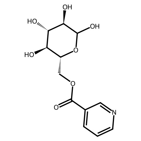 O=C(OC[C@H]1OC(O)[C@H](O)[C@@H](O)[C@@H]1O)c1cccnc1